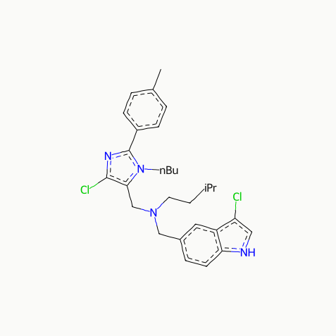 CCCCn1c(-c2ccc(C)cc2)nc(Cl)c1CN(CCC(C)C)Cc1ccc2[nH]cc(Cl)c2c1